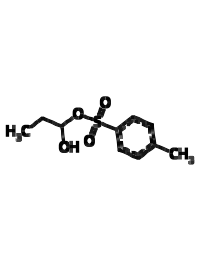 CCC(O)OS(=O)(=O)c1ccc(C)cc1